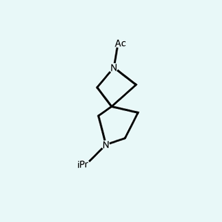 CC(=O)N1CC2(CCN(C(C)C)C2)C1